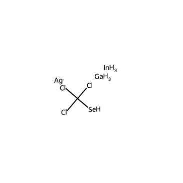 ClC(Cl)(Cl)[SeH].[Ag].[GaH3].[InH3]